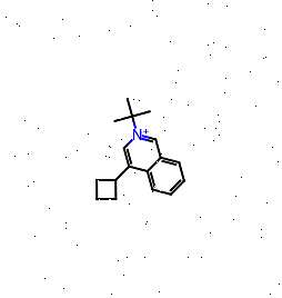 CC(C)(C)[n+]1cc(C2CCC2)c2ccccc2c1